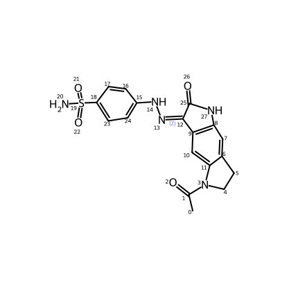 CC(=O)N1CCc2cc3c(cc21)/C(=N/Nc1ccc(S(N)(=O)=O)cc1)C(=O)N3